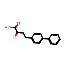 O=C(O)C(=O)CCc1ccc(-c2ccccc2)cc1